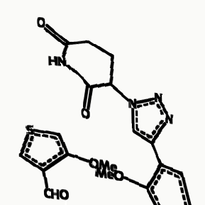 COc1cscc1-c1cn(C2CCC(=O)NC2=O)nn1.COc1cscc1C=O